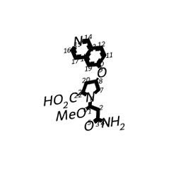 COC(CC(N)=O)N1C[C@H](Oc2ccc3cnccc3c2)C[C@H]1C(=O)O